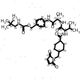 CC(C)[C@H](NC(=O)C1CCC(CN2C(=O)C=CC2=O)CC1)C(=O)N[C@@H](C)C(=O)Nc1ccc(COC(=O)NCC(C)(C)C)cc1